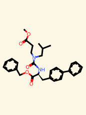 COC(=O)CCN(CC(C)C)C(=O)N[C@@H](Cc1ccc(-c2ccccc2)cc1)C(=O)OCc1ccccc1